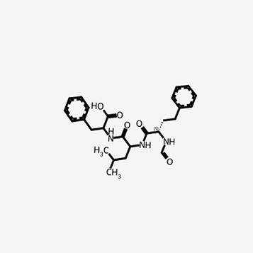 CC(C)CC(NC(=O)[C@H](CCc1ccccc1)NC=O)C(=O)NC(Cc1ccccc1)C(=O)O